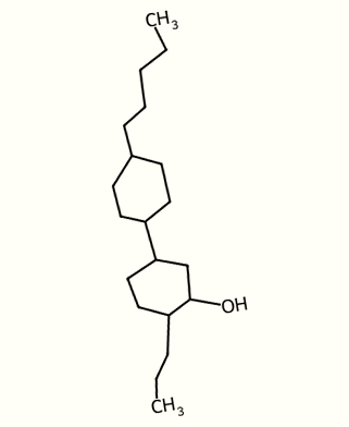 CCCCCC1CCC(C2CCC(CCC)C(O)C2)CC1